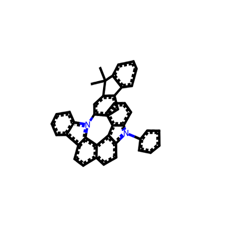 CC1(C)c2ccccc2-c2ccc(-n3c4ccccc4c4ccc5ccc6c(c7ccccc7n6-c6ccccc6)c5c43)cc21